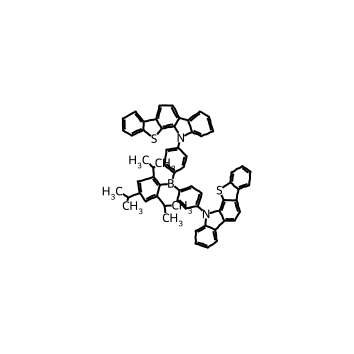 CC(C)c1cc(C(C)C)c(B(c2ccc(-n3c4ccccc4c4ccc5c6ccccc6sc5c43)cc2)c2ccc(-n3c4ccccc4c4ccc5c6ccccc6sc5c43)cc2)c(C(C)C)c1